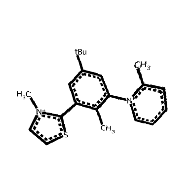 Cc1c(-c2scc[n+]2C)cc(C(C)(C)C)cc1-[n+]1ccccc1C